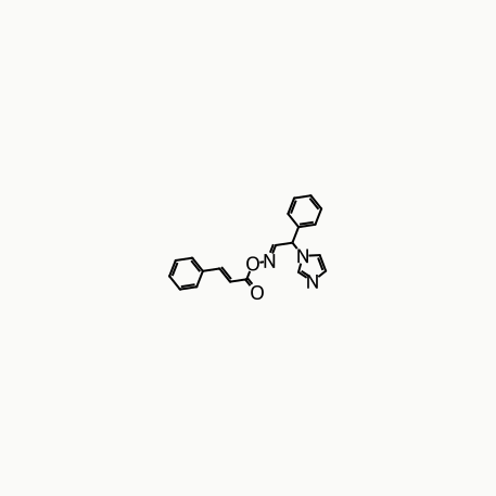 O=C(C=Cc1ccccc1)ON=CC(c1ccccc1)n1ccnc1